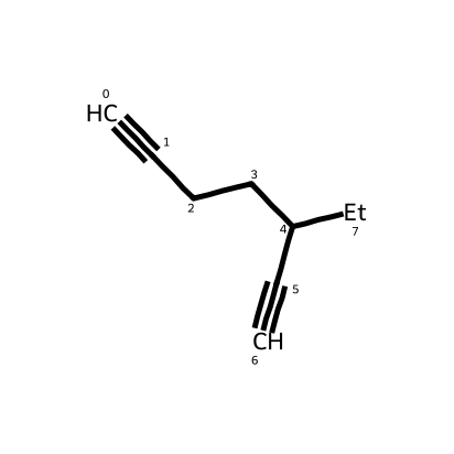 C#CCCC(C#C)CC